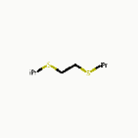 CC(C)SCCSC(C)C